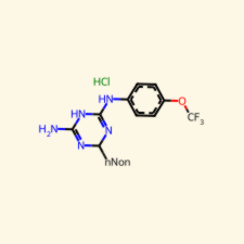 CCCCCCCCCC1N=C(N)NC(Nc2ccc(OC(F)(F)F)cc2)=N1.Cl